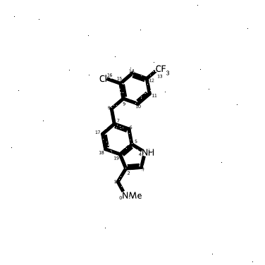 CNCc1c[nH]c2cc(Cc3ccc(C(F)(F)F)cc3Cl)ccc12